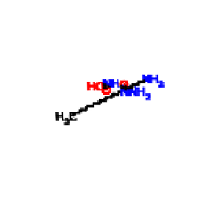 CCCCCCCCCCCCCCCCNC(=O)[C@@H](N)CCCCN.NC(=O)O